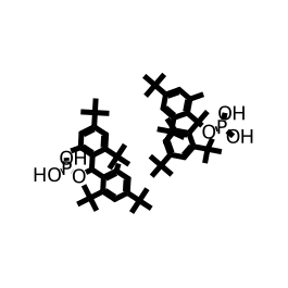 Cc1cc(C(C)(C)C)cc(C(C)(C)C)c1C(C)(OP(O)O)c1c(C)cc(C(C)(C)C)cc1C(C)(C)C.Cc1cc(C(C)(C)C)cc(C(C)(C)C)c1C(OP(O)O)c1c(C)cc(C(C)(C)C)cc1C(C)(C)C